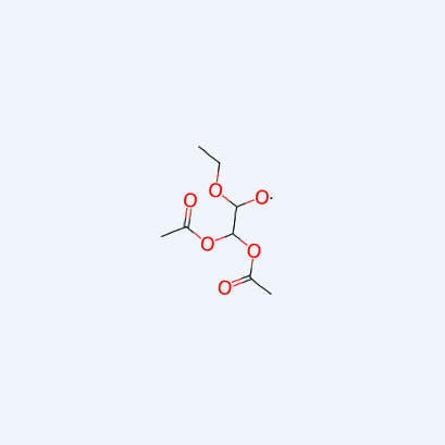 CCOC([O])C(OC(C)=O)OC(C)=O